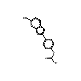 CCCC(=O)Oc1ccc(-c2cc3ccc(O)cc3s2)cc1